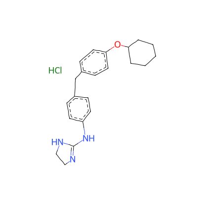 Cl.c1cc(NC2=NCCN2)ccc1Cc1ccc(OC2CCCCC2)cc1